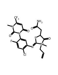 C=CC[N+]1(C)C(=O)C(CC(N)=O)SC1=Nc1cc(-n2c(=O)cc(C(F)(F)F)n(C)c2=O)c(F)cc1Cl